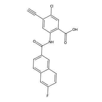 C#Cc1cc(NC(=O)c2ccc3cc(F)ccc3c2)c(C(=O)O)cc1Cl